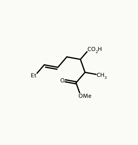 CCC=CCC(C(=O)O)C(C)C(=O)OC